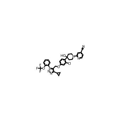 N#Cc1ccnc(N2CCC(O)(c3ccc(OCc4c(C5CC5)nnn4-c4ccccc4OC(F)(F)F)cc3Cl)CC2)c1